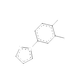 Fc1cc(-n2cccn2)[c]cc1Cl